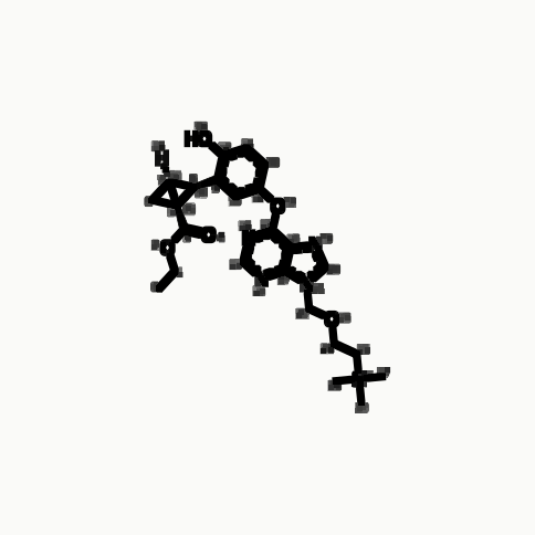 CCOC(=O)[C@@]12C[C@H]1[C@H]2c1cc(Oc2ncnc3c2ncn3COCC[Si](C)(C)C)ccc1O